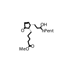 CCCCCC(O)CC[C@H]1C=CC(=O)[C@H]1CCCCC(=O)OC